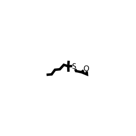 CCCCCC(C)(C)SCC1CO1